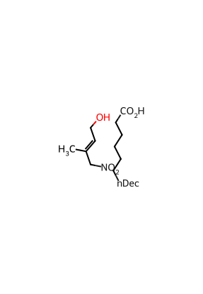 CC(=CCO)C[N+](=O)[O-].CCCCCCCCCCCCCCCC(=O)O